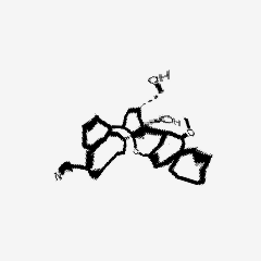 COC1=C2C(=CC13CCCC3)O[C@@]1(C3=CC=C(C#N)CC3)C(C3C=CC=C3)C[C@H](CO)[C@@]21O